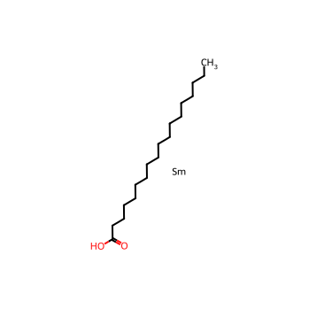 CCCCCCCCCCCCCCCCCC(=O)O.[Sm]